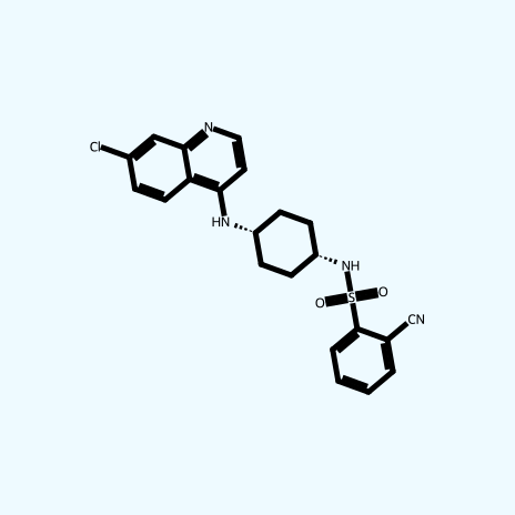 N#Cc1ccccc1S(=O)(=O)N[C@H]1CC[C@@H](Nc2ccnc3cc(Cl)ccc23)CC1